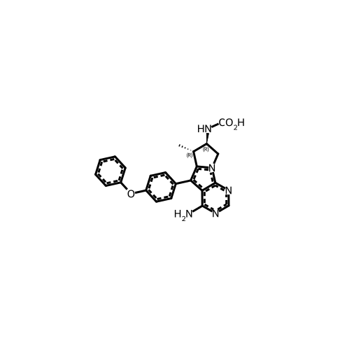 C[C@H]1c2c(-c3ccc(Oc4ccccc4)cc3)c3c(N)ncnc3n2C[C@@H]1NC(=O)O